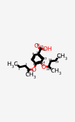 CCCC(C)Oc1ccc(C(=O)O)cc1OC(C)CCC